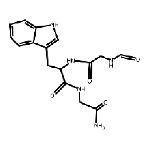 NC(=O)CNC(=O)C(Cc1c[nH]c2ccccc12)NC(=O)CNC=O